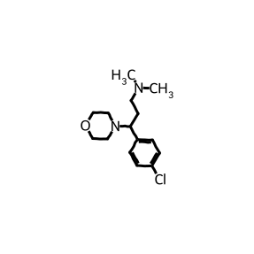 CN(C)CCC(c1ccc(Cl)cc1)N1CCOCC1